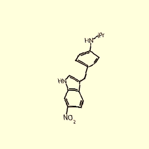 CC(C)Nc1ccc(Cc2c[nH]c3cc([N+](=O)[O-])ccc23)cc1